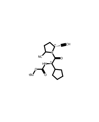 C#C[C@H]1CCC(C#N)N1C(=O)[C@H](NC(=O)OC(C)(C)C)C1CCCC1